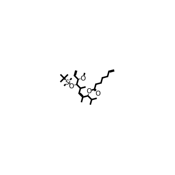 C=CCCCCC(=O)O[C@@H](/C(C)=C\C(C)[C@H](O[Si](C)(C)C(C)(C)C)[C@H](C=C)OC)C(C)C